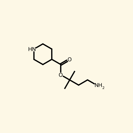 CC(C)(CCN)OC(=O)C1CCNCC1